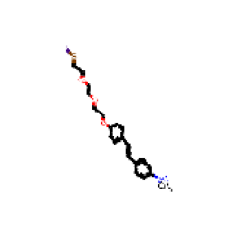 CNc1ccc(/C=C/c2ccc(OCCOCCOCCSI)cc2)cc1